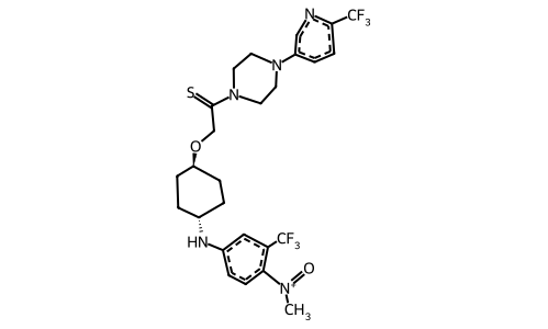 C[N+](=O)c1ccc(N[C@H]2CC[C@H](OCC(=S)N3CCN(c4ccc(C(F)(F)F)nc4)CC3)CC2)cc1C(F)(F)F